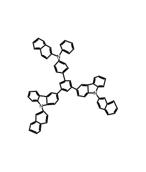 c1ccc(N(c2ccc(-c3cc(-c4ccc5c(c4)c4ccccc4n5-c4ccc5ccccc5c4)cc(-c4ccc5c(c4)c4ccccc4n5-c4ccc5ccccc5c4)c3)cc2)c2ccc3ccccc3c2)cc1